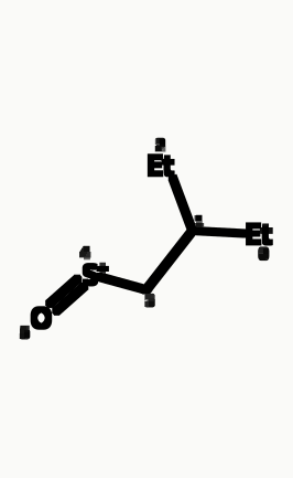 CCC(CC)C[S+]=O